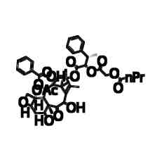 CCCC(=O)OCC(=O)O[C@@H](C(=O)O[C@@]1(C)C[C@]2(O)[C@@H](OC(=O)c3ccccc3)[C@@H]3[C@]4(OC(C)=O)CO[C@@H]4C[C@H](O)[C@@]3(C)C(=O)[C@H](O)C(=C1C)C2(C)C)[C@@H](C)c1ccccc1